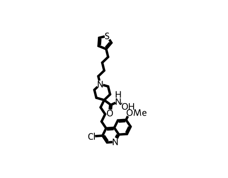 COc1ccc2ncc(Cl)c(CCCC3(C(=O)NO)CCN(CCCCc4ccsc4)CC3)c2c1